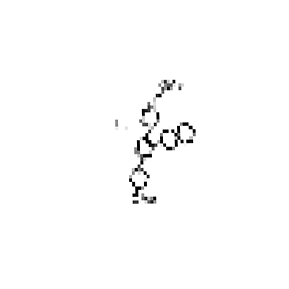 COCCN1CCN(c2ccc(N3CCC(OC)CC3)cc2C2CCC3(CCCCC3)CC2)CC1.Cl